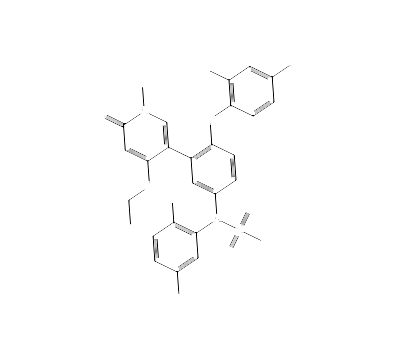 CCOc1cc(=O)n(C)cc1-c1cc(N(c2cc(F)ccc2Cl)S(C)(=O)=O)ccc1Oc1ccc(F)cc1F